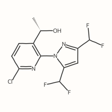 C[C@H](O)c1ccc(Cl)nc1-n1nc(C(F)F)cc1C(F)F